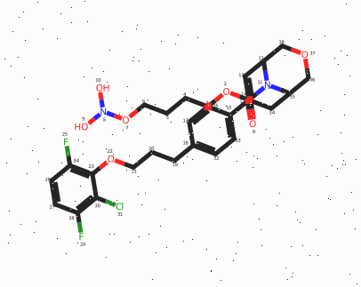 O=C(OCCCCON(O)O)N1C2C=C(c3ccc(CCCOc4c(F)ccc(F)c4Cl)cc3)CC1COC2